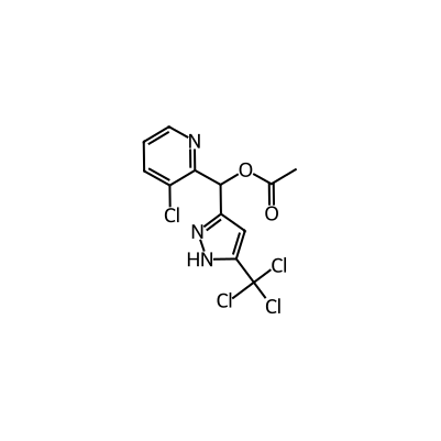 CC(=O)OC(c1cc(C(Cl)(Cl)Cl)[nH]n1)c1ncccc1Cl